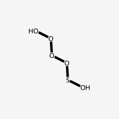 OOOOSO